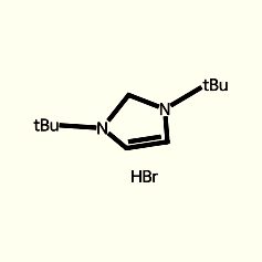 Br.CC(C)(C)N1C=CN(C(C)(C)C)C1